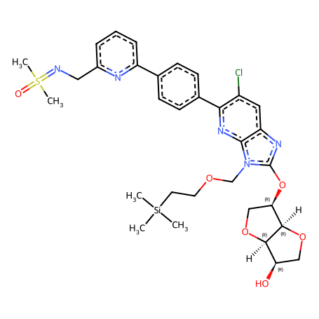 C[Si](C)(C)CCOCn1c(O[C@@H]2CO[C@H]3[C@@H]2OC[C@H]3O)nc2cc(Cl)c(-c3ccc(-c4cccc(CN=S(C)(C)=O)n4)cc3)nc21